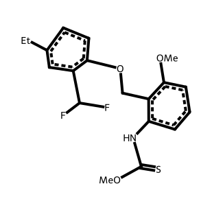 CCc1ccc(OCc2c(NC(=S)OC)cccc2OC)c(C(F)F)c1